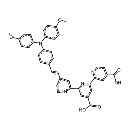 COc1ccc(N(c2ccc(/C=C/c3ccnc(-c4cc(C(=O)O)cc(-c5cc(C(=O)O)ccn5)n4)c3)cc2)c2ccc(OC)cc2)cc1